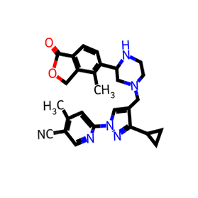 Cc1cc(-n2cc(CN3CCNC(c4ccc5c(c4C)COC5=O)C3)c(C3CC3)n2)ncc1C#N